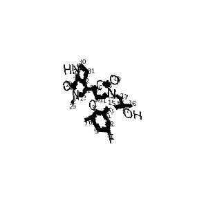 Cc1cc(F)cc(C)c1Oc1cn(CC(C)(C)O)c(=O)cc1-c1cn(C)c(=O)c2[nH]ccc12